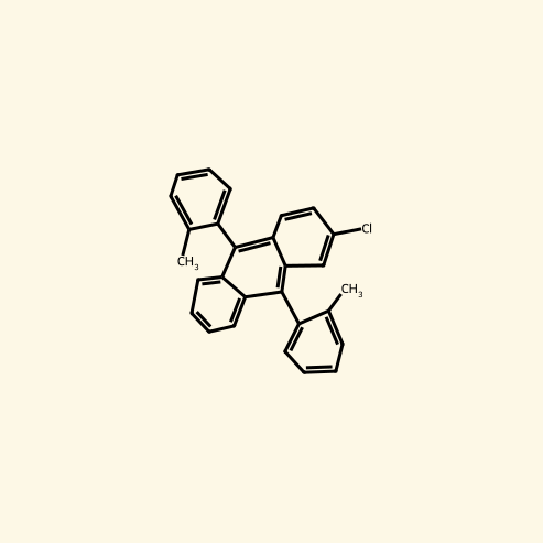 Cc1ccccc1-c1c2ccccc2c(-c2ccccc2C)c2cc(Cl)ccc12